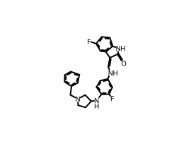 O=C1Nc2ccc(F)cc2C1=CNc1ccc(NC2CCN(Cc3ccccc3)C2)c(F)c1